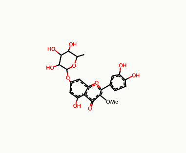 COc1c(-c2ccc(O)c(O)c2)oc2cc(OC3OC(C)C(O)C(O)C3O)cc(O)c2c1=O